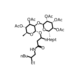 CCCCCCCC(CC(=O)NCC(CC)CCCC)O[C@@H]1O[C@@H](C)[C@H](OC(C)=O)[C@@H](OC(C)=O)[C@H]1O[C@@H]1O[C@@H](C)[C@H](OC(C)=O)[C@@H](OC(C)=O)[C@H]1OC(C)=O